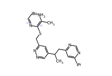 CCC(C)/C=N\C(SCc1cc(C(C)Cc2cc(C(C)C)ncn2)cnn1)=C(\C)N